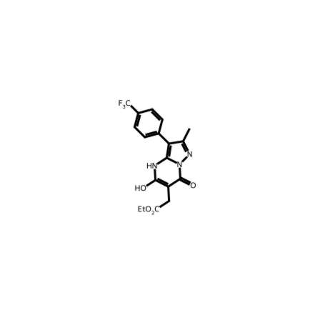 CCOC(=O)Cc1c(O)[nH]c2c(-c3ccc(C(F)(F)F)cc3)c(C)nn2c1=O